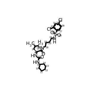 CC(C)C[C@H](NC(=O)NC1CCCCC1)C(=O)NCCCCNS(=O)(=O)c1ccc(Cl)cc1Cl